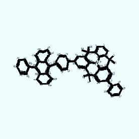 CC1(C)c2cccc3c2N2c4c1cc(-c1ccccc1)cc4C(C)(C)c1cc(C4C=CC(c5c6ccccc6c(-c6ccccc6)c6ccccc56)=CC4)cc(c12)C3(C)C